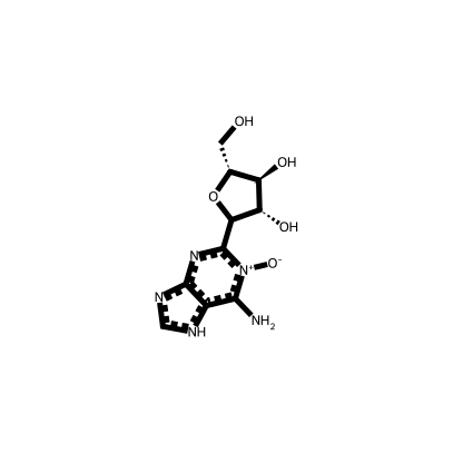 Nc1c2[nH]cnc2nc(C2O[C@H](CO)[C@@H](O)[C@@H]2O)[n+]1[O-]